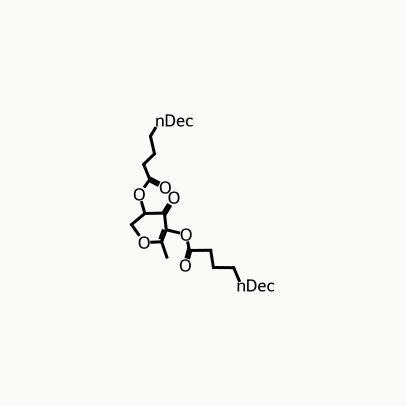 CCCCCCCCCCCCCC(=O)OC1=C(C)OCC(OC(=O)CCCCCCCCCCCCC)C1=O